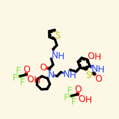 O=C(CCNCCc1cccs1)N(CCNCCc1ccc(O)c2[nH]c(=O)sc12)C1CCCCCC1.O=C(O)C(F)(F)F.O=C(O)C(F)(F)F